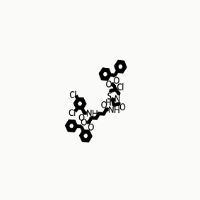 O=C(CCCC(NC(=O)c1ccc(Cl)cc1Cl)C(=O)OC(c1ccccc1)c1ccccc1)NC1C(=O)N2CC(Cl)(C(=O)OC(c3ccccc3)c3ccccc3)CS[C@H]12